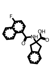 O=C(NC1(C(=O)O)Cc2ccccc2C1)c1ccc(F)c2ccccc12